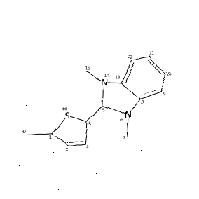 CC1C=CC(C2N(C)c3ccccc3N2C)S1